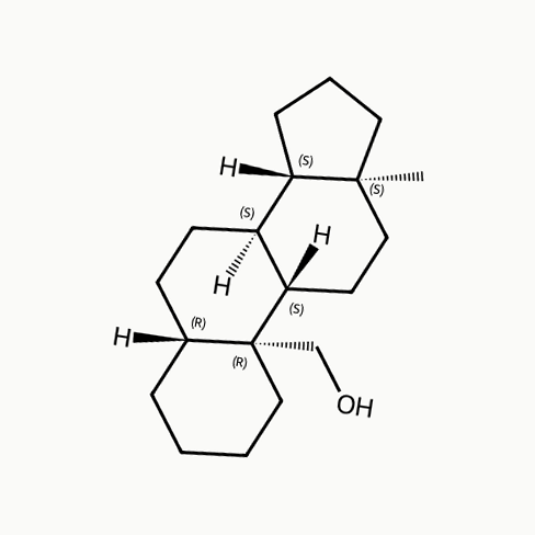 C[C@@]12CCC[C@H]1[C@@H]1CC[C@H]3CCCC[C@]3(CO)[C@H]1CC2